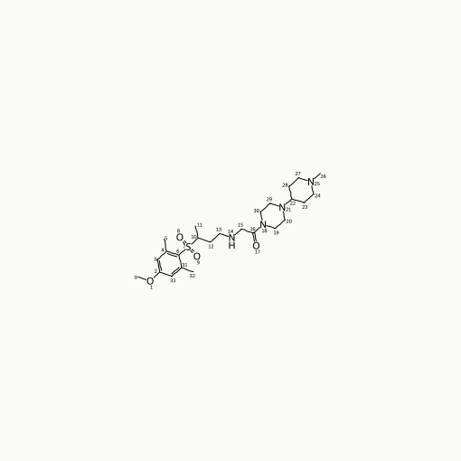 COc1cc(C)c(S(=O)(=O)C(C)CCNCC(=O)N2CCN(C3CCN(C)CC3)CC2)c(C)c1